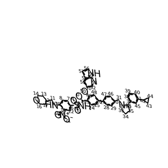 O=C(NS(=O)(=O)c1ccc(NCC2CCOCC2)c([N+](=O)[O-])c1)c1ccc(-c2ccc(CN3CCC[C@@H]3c3cccc(C4CC4)c3)cc2)cc1Oc1cnc2[nH]ccc2c1